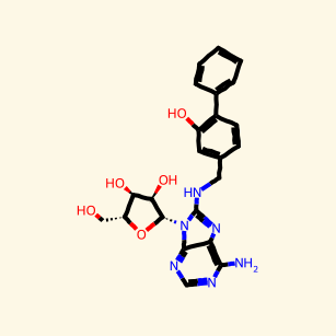 Nc1ncnc2c1nc(NCc1ccc(-c3ccccc3)c(O)c1)n2[C@@H]1O[C@H](CO)[C@@H](O)[C@H]1O